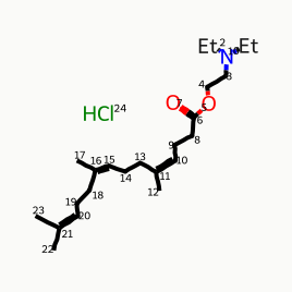 CCN(CC)CCOC(=O)CCC=C(C)CCC=C(C)CCC=C(C)C.Cl